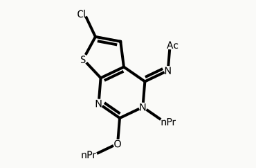 CCCOc1nc2sc(Cl)cc2/c(=N\C(C)=O)n1CCC